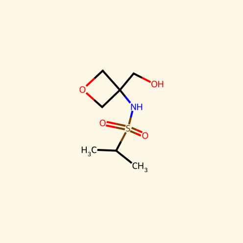 CC(C)S(=O)(=O)NC1(CO)COC1